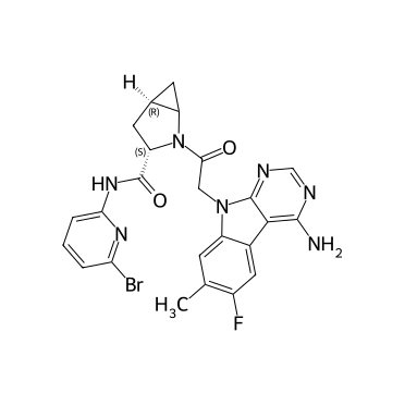 Cc1cc2c(cc1F)c1c(N)ncnc1n2CC(=O)N1C2C[C@@H]2C[C@H]1C(=O)Nc1cccc(Br)n1